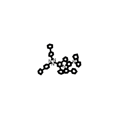 c1ccc(-c2ccc(-c3nc(-c4ccc(-c5ccccc5)cc4)nc(-c4cc(-c5ccccc5)c(-n5c6ccc(-n7c8ccccc8c8ccccc87)cc6c6c(-c7ccccc7)cccc65)c(-c5ccccc5)c4)n3)cc2)cc1